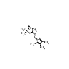 Cc1nn(COC(C)C[Si](C)(C)C)c(C)c1C